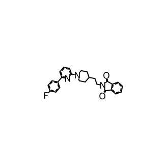 O=C1c2ccccc2C(=O)N1CCC1CCN(c2cccc(-c3ccc(F)cc3)n2)CC1